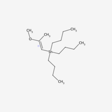 CCC[CH2][Sn](/[CH]=C(\C)OC)([CH2]CCC)[CH2]CCC